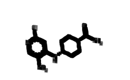 NC(=O)[C@H]1CC[C@H](Nc2cc(Cl)ncc2[N+](=O)[O-])CC1